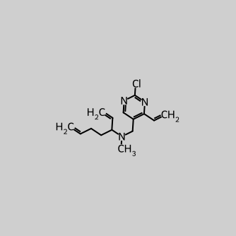 C=CCCC(C=C)N(C)Cc1cnc(Cl)nc1C=C